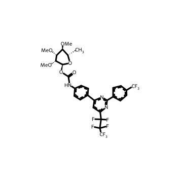 CO[C@@H]1[C@@H](OC)[C@H](C)O[C@@H](OC(=O)Nc2ccc(-c3cc(C(F)(F)C(F)(F)C(F)(F)F)nc(-c4ccc(C(F)(F)F)cc4)n3)cc2)[C@@H]1OC